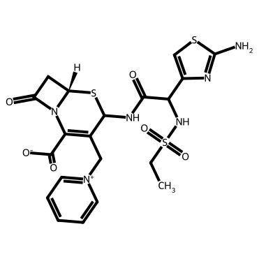 CCS(=O)(=O)NC(C(=O)NC1S[C@H]2CC(=O)N2C(C(=O)[O-])=C1C[n+]1ccccc1)c1csc(N)n1